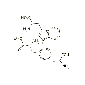 CC(N)C(=O)O.COC(=O)C(N)Cc1ccccc1.NC(Cc1c[nH]c2ccccc12)C(=O)O